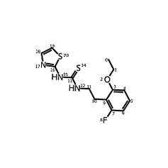 CCOc1cccc(F)c1CCNC(=S)Nc1nccs1